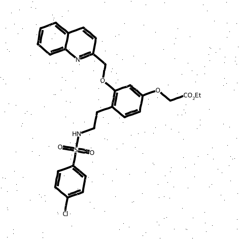 CCOC(=O)COc1ccc(CCNS(=O)(=O)c2ccc(Cl)cc2)c(OCc2ccc3ccccc3n2)c1